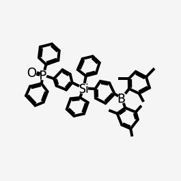 Cc1cc(C)c(B(c2ccc([Si](c3ccccc3)(c3ccccc3)c3ccc(P(=O)(c4ccccc4)c4ccccc4)cc3)cc2)c2c(C)cc(C)cc2C)c(C)c1